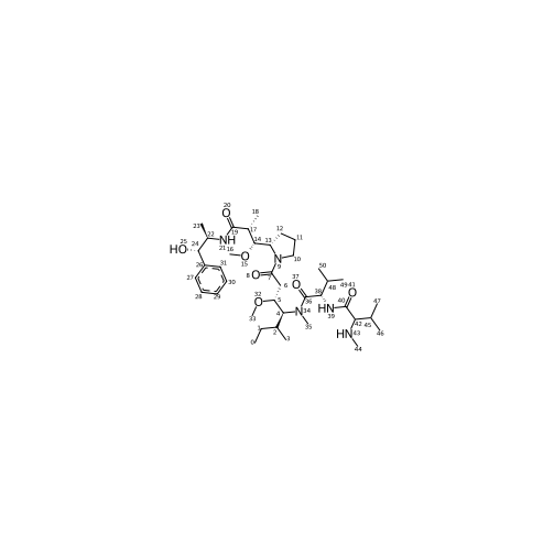 CCC(C)[C@@H]([C@@H](CC(=O)N1CCC[C@H]1[C@H](OC)[C@@H](C)C(=O)N[C@H](C)[C@@H](O)c1ccccc1)OC)N(C)C(=O)[C@@H](NC(=O)C(NC)C(C)C)C(C)C